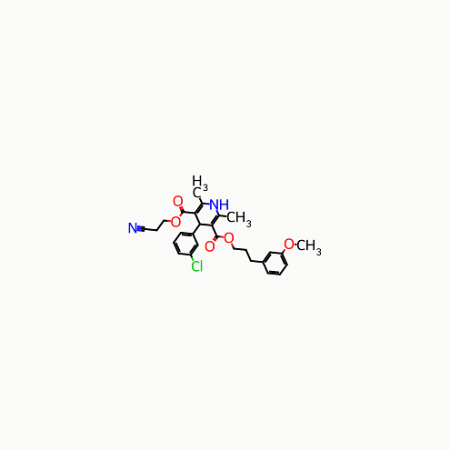 COc1cccc(CCCOC(=O)C2=C(C)NC(C)=C(C(=O)OCCC#N)C2c2cccc(Cl)c2)c1